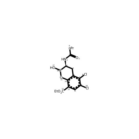 CCCC(=O)N[C@H]1Cc2c(Cl)c(Cl)cc(C(=O)OCC)c2OB1O